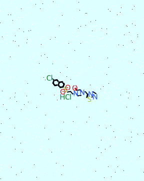 Cl.O=C1CN(CC2=CSC3=NCCN23)CCN1CCCS(=O)(=O)c1ccc2cc(Cl)ccc2c1